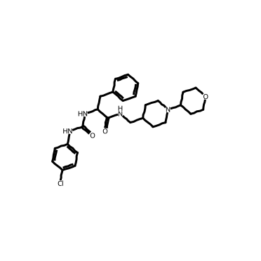 O=C(Nc1ccc(Cl)cc1)NC(Cc1ccccc1)C(=O)NCC1CCN(C2CCOCC2)CC1